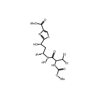 CCCN(C(=O)C(NC(=O)OC(C)(C)C)C(CC)CC)[C@H](C[C@@H](O)c1nc(C(=O)OC)cs1)C(C)C